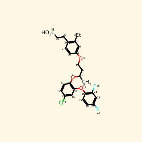 CCc1cc(OCCC(C)Oc2ccc(Cl)cc2Oc2ccc(F)cc2F)ccc1CCC(=O)O